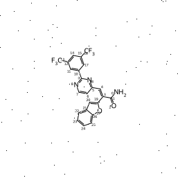 NC(=O)/C(=C/c1ccnc(-c2cc(C(F)(F)F)cc(C(F)(F)F)c2)n1)c1cc2ccccc2o1